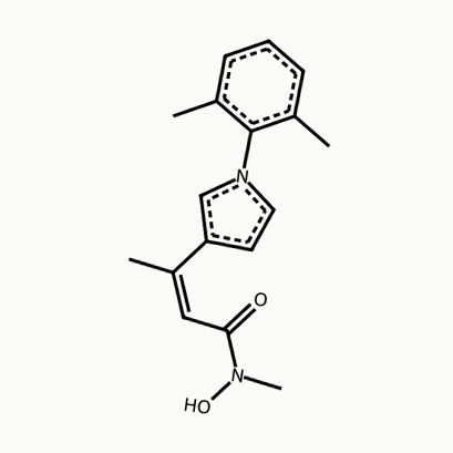 C/C(=C/C(=O)N(C)O)c1ccn(-c2c(C)cccc2C)c1